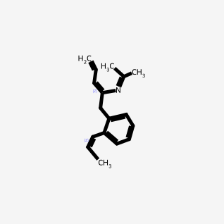 C=C/C=C(/Cc1ccccc1/C=C\C)N=C(C)C